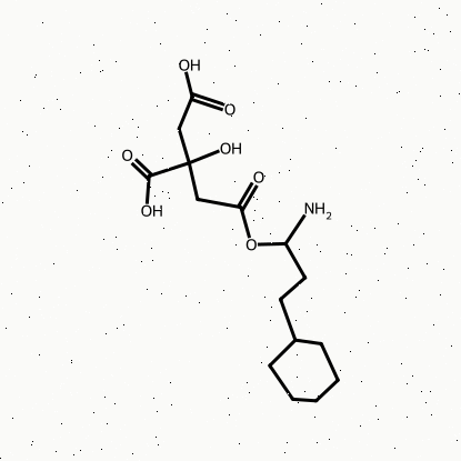 NC(CCC1CCCCC1)OC(=O)CC(O)(CC(=O)O)C(=O)O